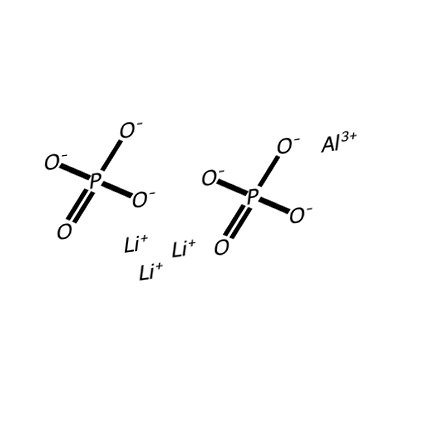 O=P([O-])([O-])[O-].O=P([O-])([O-])[O-].[Al+3].[Li+].[Li+].[Li+]